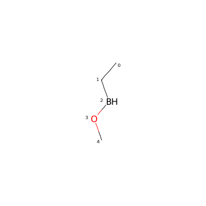 CCBOC